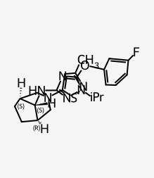 Cc1cc(N2C[C@H]3CC[C@@H](C2)[C@@H]3Nc2nc(Oc3cccc(F)c3)n(C(C)C)n2)sn1